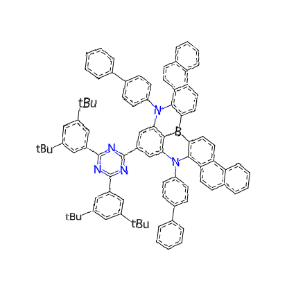 CC(C)(C)c1cc(-c2nc(-c3cc(C(C)(C)C)cc(C(C)(C)C)c3)nc(-c3cc4c5c(c3)N(c3ccc(-c6ccccc6)cc3)c3c(ccc6c3ccc3ccccc36)B5c3ccc5c(ccc6ccccc65)c3N4c3ccc(-c4ccccc4)cc3)n2)cc(C(C)(C)C)c1